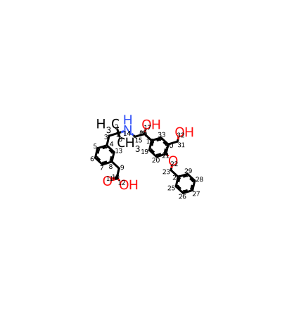 CC(C)(Cc1cccc(CC(=O)O)c1)NC[C@@H](O)c1ccc(OCc2ccccc2)c(CO)c1